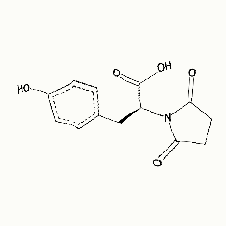 O=C(O)[C@H](Cc1ccc(O)cc1)N1C(=O)CCC1=O